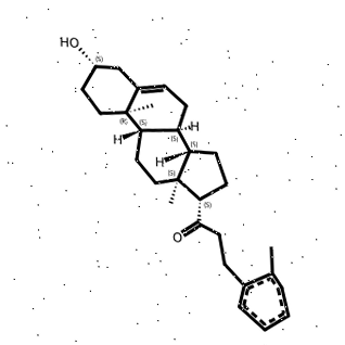 Cc1ccccc1CCC(=O)[C@H]1CC[C@H]2[C@@H]3CC=C4C[C@@H](O)CC[C@]4(C)[C@H]3CC[C@]12C